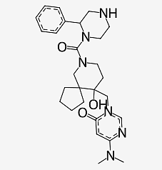 CN(C)c1cc(=O)n(CC2(O)CCN(C(=O)N3CCNCC3c3ccccc3)CC23CCCC3)cn1